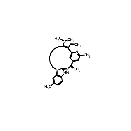 C=C/C1=C(\N(C)C)CCCCCCN2/C(=N/C(=C)c3cc(C)nc1c3)Nc1ccc(C)cc12